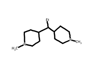 CCC(C1CCN(C)CC1)C1CCN(C)CC1